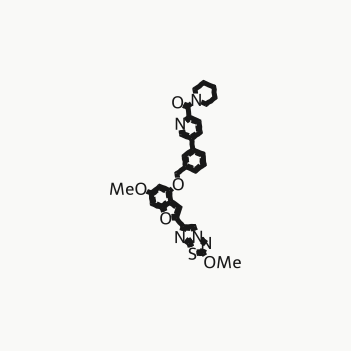 COc1cc(OCc2cccc(-c3ccc(C(=O)N4CCCCC4)nc3)c2)c2cc(-c3cn4nc(OC)sc4n3)oc2c1